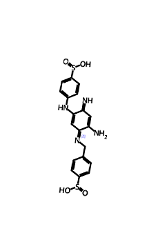 N=C1C=C(N)/C(=N\Cc2ccc(S(=O)O)cc2)C=C1Nc1ccc(S(=O)O)cc1